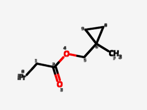 CC(C)CC(=O)OCC1(C)CC1